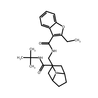 CCc1oc2ccccc2c1C(=O)NCC1CC2CCC(C1)N2CC(=O)NC(C)(C)C